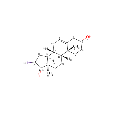 C[C@]12CCC(O)CC1=CC[C@@H]1[C@H]2CC[C@]2(C)C(=O)C(I)C[C@@H]12